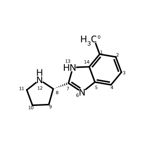 Cc1cccc2nc([C@@H]3CCCN3)[nH]c12